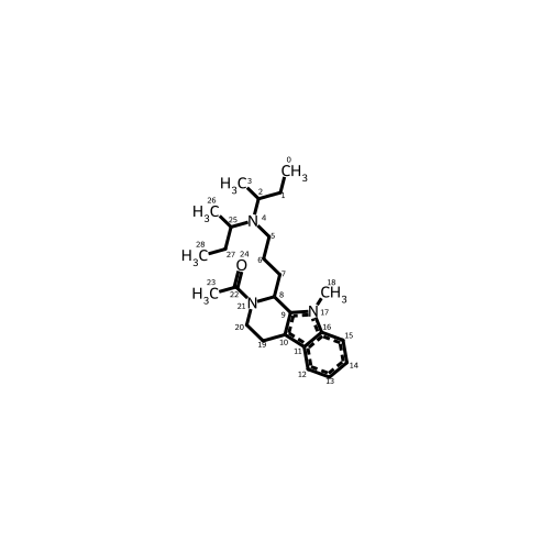 CCC(C)N(CCCC1c2c(c3ccccc3n2C)CCN1C(C)=O)C(C)CC